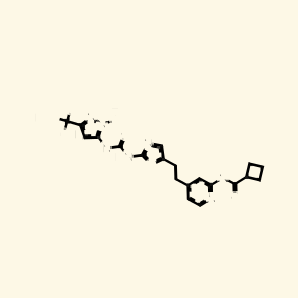 Cn1nc(C(C)(C)C)cc1NC(=O)Nc1ncc(CCc2ccnc(NC(=O)C3CCC3)c2)s1